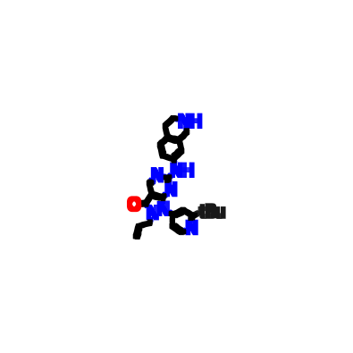 C=CCn1c(=O)c2cnc(Nc3ccc4c(c3)CNCC4)nc2n1-c1ccnc(C(C)(C)C)c1